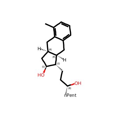 CCCCC[C@@H](O)CC[C@H]1[C@@H]2Cc3cccc(C)c3C[C@@H]2C[C@@H]1O